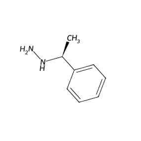 C[C@H](NN)c1ccccc1